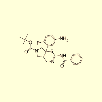 CC(C)(C)OC(=O)N1CC2CN=C(NC(=O)c3ccccc3)SC2(c2cc(N)ccc2F)C1